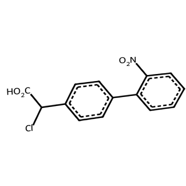 O=C(O)C(Cl)c1ccc(-c2ccccc2[N+](=O)[O-])cc1